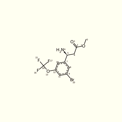 COC(=O)C[C@H](N)c1cc(Br)cc(OC(F)(F)F)c1